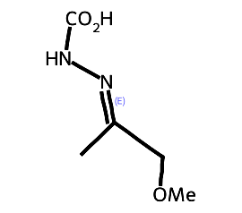 COC/C(C)=N/NC(=O)O